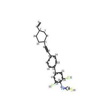 C=CC1CCC(C#Cc2ccc(-c3cc(F)c(N=C=S)c(F)c3)cc2)CC1